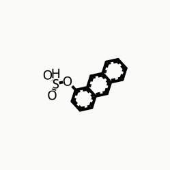 O=[SH](=O)Oc1cccc2cc3ccccc3cc12